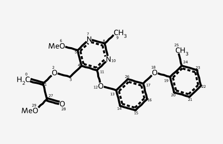 C=C(OCc1c(OC)nc(C)nc1Oc1cccc(Oc2ccccc2C)c1)C(=O)OC